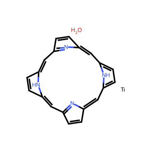 C1=Cc2cc3ccc(cc4nc(cc5ccc(cc1n2)[nH]5)C=C4)[nH]3.O.[Ti]